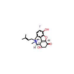 CC(C)=CC[N+]1(C)CC[C@]23c4c5ccc(O)c4O[C@H]2C(=O)CC[C@@]3(O)[C@H]1C5.[I-]